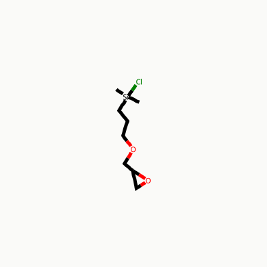 C[Si](C)(Cl)CCCOCC1CO1